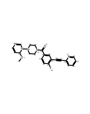 COC1C=CN=CN1N1CCN(C(=O)c2ccc(F)c(C#Cc3ccccn3)c2)CC1